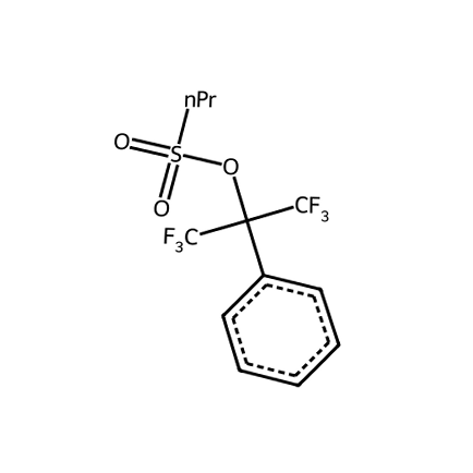 CCCS(=O)(=O)OC(c1ccccc1)(C(F)(F)F)C(F)(F)F